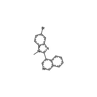 Cn1c(-c2cncc3ccccc23)nc2cc(Br)ccc21